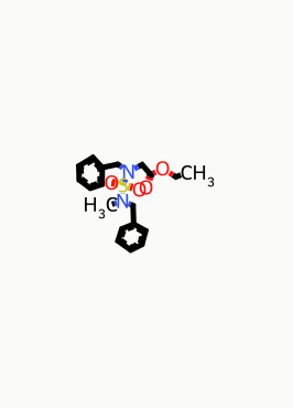 CCOC(=O)CN(Cc1ccccc1)S(=O)(=O)N(C)Cc1ccccc1